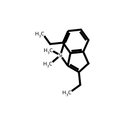 CCC1=C2c3c(ccc(c3CC)[Si]2(C)C)[CH]1